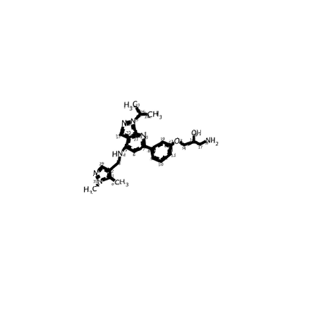 Cc1c(CNc2cc(-c3cccc(OCC(O)CN)c3)nc3c2cnn3C(C)C)cnn1C